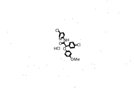 COc1ccc(OC(C(=O)Nc2ccc(Cl)cn2)c2ccc(Cl)cc2)cc1.Cl